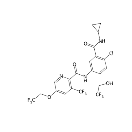 O=C(NC1CC1)c1cc(NC(=O)c2ncc(OCC(F)(F)F)cc2C(F)(F)F)ccc1Cl.OCC(F)(F)F